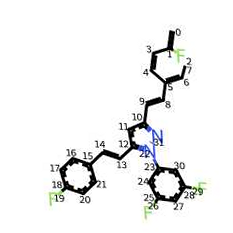 C=C(F)\C=C/C(=C\C)/C=C/c1cc(/C=C/c2ccc(F)cc2)n(-c2cc(F)cc(F)c2)n1